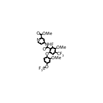 COC(=O)c1cc(NC(=O)c2c(Oc3ccc(OC(F)(F)F)cc3OC)cc(C(F)(F)F)c(OC)c2F)ccn1